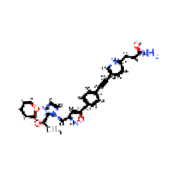 C[C@H](OC1CCCCO1)c1nccn1Cc1cc(-c2ccc(C#Cc3ccc(CCC(N)=O)nc3)cc2)on1